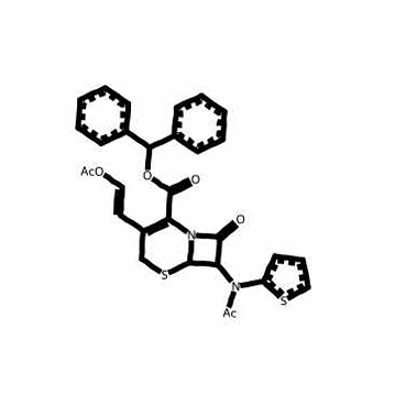 CC(=O)OC=CC1=C(C(=O)OC(c2ccccc2)c2ccccc2)N2C(=O)C(N(C(C)=O)c3cccs3)C2SC1